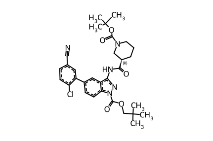 CC(C)(C)COC(=O)n1nc(NC(=O)[C@@H]2CCCN(C(=O)OC(C)(C)C)C2)c2cc(-c3cc(C#N)ccc3Cl)ccc21